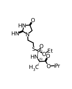 CCO[P@@](=O)(N[C@@H](C)C(=O)OC(C)C)SCCN1CC(=O)NC1=N